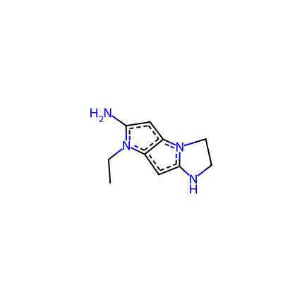 CCn1c(N)cc2c1cc1n2CCN1